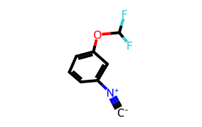 [C-]#[N+]c1cccc(OC(F)F)c1